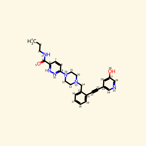 CCCNC(=O)c1ccc(N2CCN(Cc3ccccc3C#Cc3cncc(O)c3)CC2)nn1